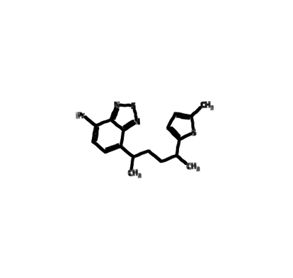 Cc1ccc(C(C)CCC(C)c2ccc(C(C)C)c3nsnc23)s1